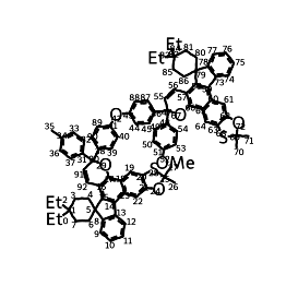 CCC1(CC)CCC2(CC1)c1ccccc1-c1c2c2c(c3cc4c(cc13)OC(C)(C)S4)OC(c1ccc(C)cc1)(c1ccc(Oc3ccc(C4(c5ccc(OC)cc5)C=Cc5c6c(c7cc8c(cc7c5O4)SC(C)(C)O8)-c4ccccc4C64CCC(CC)(CC)CC4)cc3)cc1)C=C2